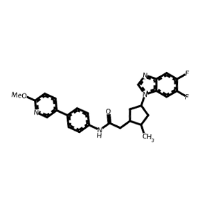 COc1ccc(-c2ccc(NC(=O)CC3CC(n4cnc5cc(F)c(F)cc54)CC3C)cc2)cn1